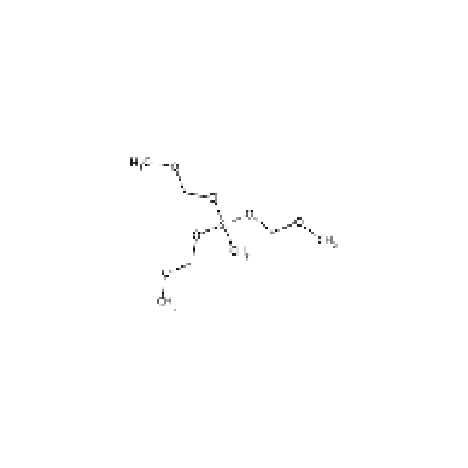 COCO[Si](C)(OCOC)OCOC